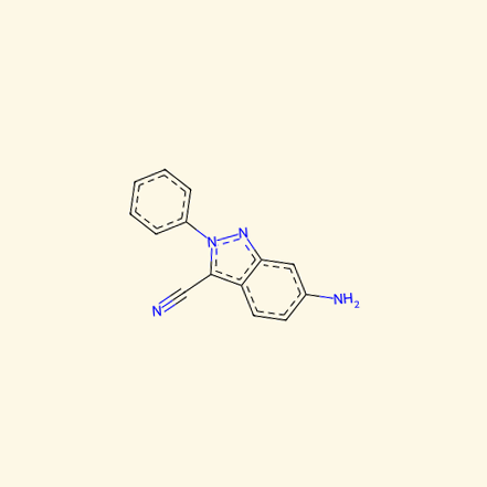 N#Cc1c2ccc(N)cc2nn1-c1ccccc1